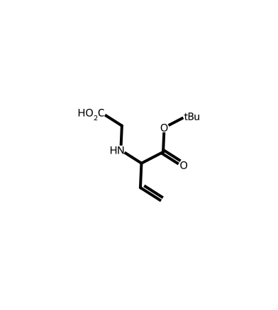 C=CC(NCC(=O)O)C(=O)OC(C)(C)C